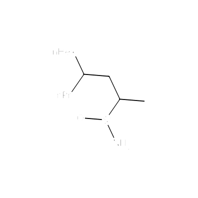 CCCCCCC(CCC)CC(C)[S+](N)[O-]